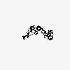 O=C(Nc1nnc(Cc2cccc(-[n+]3cncn3-c3ncccc3C(=O)Nc3nnc(C4CC4)s3)c2)s1)c1cccnc1-n1cncn1